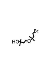 CC(C)(O)CCOC(C)(C)CCBr